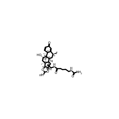 CCCC1O[C@@H]2CC3[C@@H]4C[C@H](F)C5=CC(=O)C=C[C@]5(C)[C@@]4(F)[C@@H](O)C[C@]3(C)[C@]2(C(=O)CNC(=O)CCCCNC(N)=O)O1